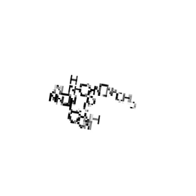 CCN1CCN(c2ccc(Nc3nc(-c4ccc5cn[nH]c5c4)cn4ncnc34)cc2OC)CC1